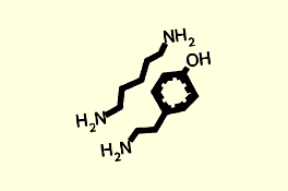 NCCCCCN.NCCc1ccc(O)cc1